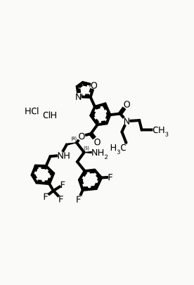 CCCN(CCC)C(=O)c1cc(C(=O)O[C@H](CNCc2cccc(C(F)(F)F)c2)[C@@H](N)Cc2cc(F)cc(F)c2)cc(-c2ncco2)c1.Cl.Cl